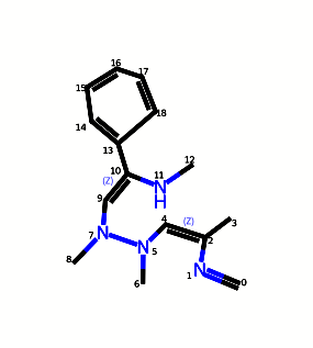 C=N/C(C)=C\N(C)N(C)/C=C(\NC)c1ccccc1